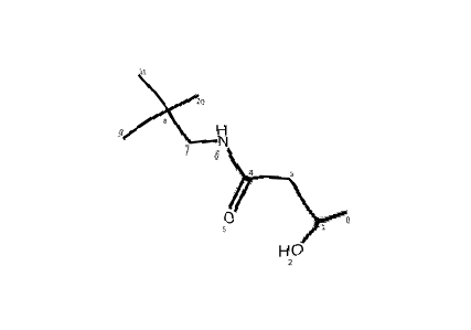 CC(O)CC(=O)NCC(C)(C)C